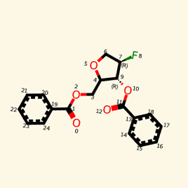 O=C(OCC1OC[C@@H](F)[C@@H]1OC(=O)c1ccccc1)c1ccccc1